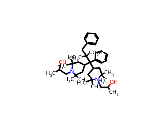 CC(O)CN1C(C)(C)CC(C(c2ccccc2)(C2CC(C)(C)N(CC(C)O)C(C)(C)C2)C(Cc2ccccc2)(C(=O)O)C(=O)O)CC1(C)C